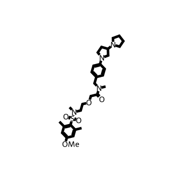 COc1cc(C)c(S(=O)(=O)N(C)CCOCC(=O)N(C)Cc2ccc(N3CCC(N4CCCC4)C3)cc2)c(C)c1